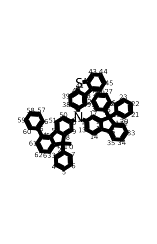 CC1(c2ccccc2)c2cc(N(c3ccc4c(c3)C(c3ccccc3)(c3ccccc3)c3ccccc3-4)c3ccc4sc5ccccc5c4c3)ccc2-c2c(-c3ccccc3)cccc21